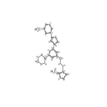 Cc1cccc(-c2ccn(-c3cc(N4CCOCC4)nc(OCCc4nccn4C)n3)n2)c1